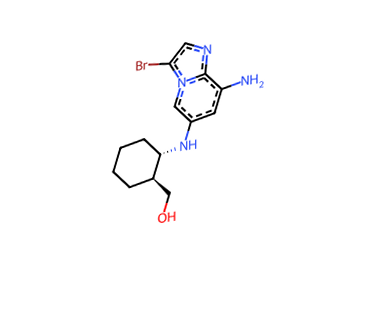 Nc1cc(N[C@H]2CCCC[C@@H]2CO)cn2c(Br)cnc12